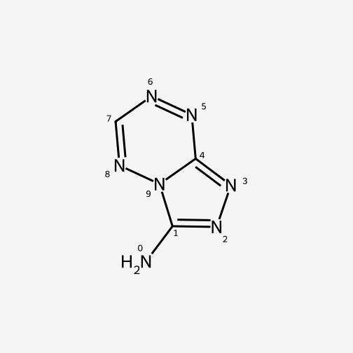 Nc1nnc2nncnn12